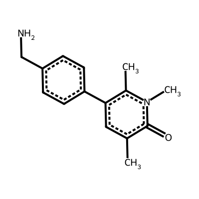 Cc1cc(-c2ccc(CN)cc2)c(C)n(C)c1=O